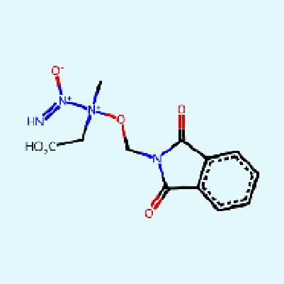 C[N+](CC(=O)O)(OCN1C(=O)c2ccccc2C1=O)[N+](=N)[O-]